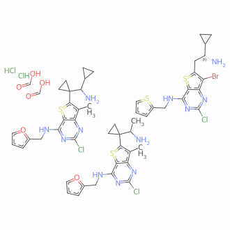 Cc1c(C2(C(C)N)CC2)sc2c(NCc3ccco3)nc(Cl)nc12.Cc1c(C2(C(N)C3CC3)CC2)sc2c(NCc3ccco3)nc(Cl)nc12.Cl.Cl.N[C@H](Cc1sc2c(NCc3cccs3)nc(Cl)nc2c1Br)C1CC1.O=CO.O=CO